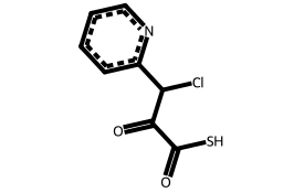 O=C(S)C(=O)C(Cl)c1ccccn1